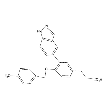 O=C(O)CCc1ccc(OCc2ccc(C(F)(F)F)cc2)c(-c2ccc3[nH]ncc3c2)c1